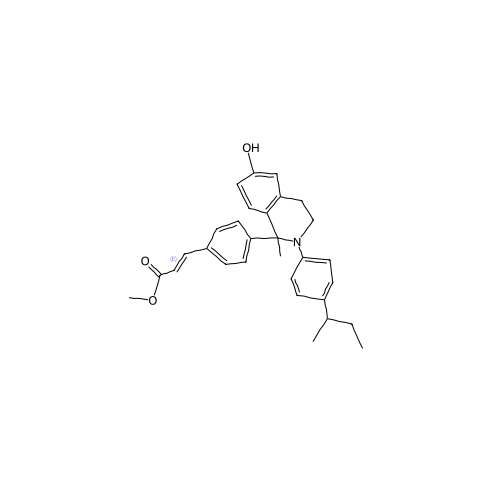 CCC(C)c1ccc(N2CCc3cc(O)ccc3C2(C)c2ccc(/C=C/C(=O)OC)cc2)cc1